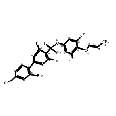 CCCc1ccc(-c2cc(F)c(C(F)(F)Oc3cc(F)c(O/C=C/C(F)(F)F)c(F)c3)c(F)c2)c(F)c1